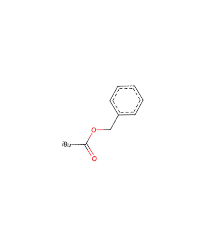 [CH2]CC(C)C(=O)OCc1ccccc1